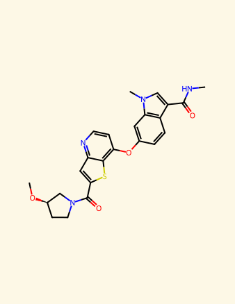 CNC(=O)c1cn(C)c2cc(Oc3ccnc4cc(C(=O)N5CC[C@@H](OC)C5)sc34)ccc12